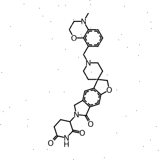 CN1CCOc2c(CN3CCC4(CC3)COc3cc5c(cc34)CN(C3CCC(=O)NC3=O)C5=O)cccc21